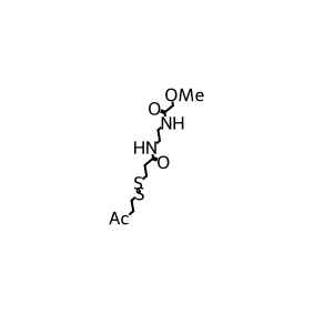 COCC(=O)NCCNC(=O)CCSSCCC(C)=O